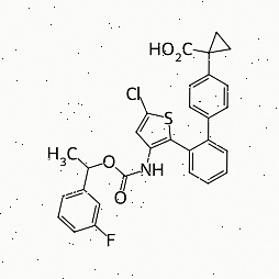 CC(OC(=O)Nc1cc(Cl)sc1-c1ccccc1-c1ccc(C2(C(=O)O)CC2)cc1)c1cccc(F)c1